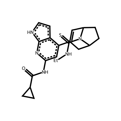 CCNC(=S)N1C2C=C(c3cc(NC(=O)C4CC4)nc4[nH]ccc34)CC1CC2